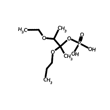 CCCOC(C)(OP(=O)(O)O)C(C)OCC